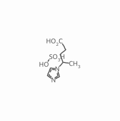 CC(CCC(=O)O)n1ccnc1.O=S(=O)(O)O